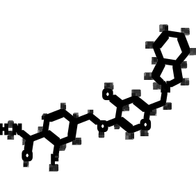 NC(=O)c1ccc(COc2coc(Cn3cc4ccccc4c3)cc2=O)cc1F